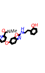 CNC(=O)c1cc(Oc2ccc3nc(NCCc4ccccc4O)oc3c2)ccn1